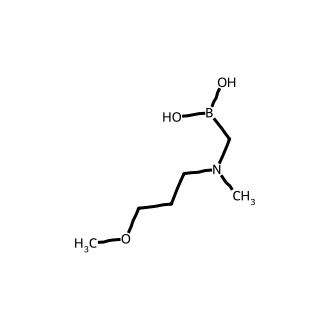 COCCCN(C)CB(O)O